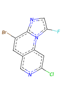 Fc1cnc2c(Br)cc3cnc(Cl)cc3n12